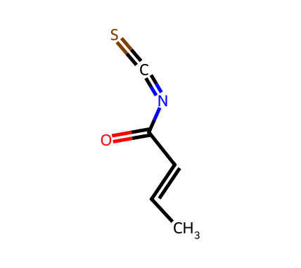 C/C=C/C(=O)N=C=S